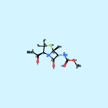 COC(=O)[C@@H]1N2C(=O)[C@@H](NC(=O)OC(C)(C)C)[C@H]2SC1(C)C